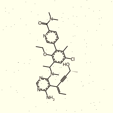 CC=C(C#C[C@@H](C)O)c1c(N)ncnc1N(C)C(C)c1cc(Cl)c(C)c(-c2ccc(C(=O)N(C)C)nc2)c1OCC